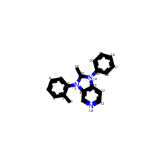 Cc1ccccc1N1c2cnccc2N(c2ccccc2)C1C